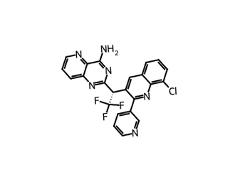 Nc1nc([C@H](c2cc3cccc(Cl)c3nc2-c2cccnc2)C(F)(F)F)nc2cccnc12